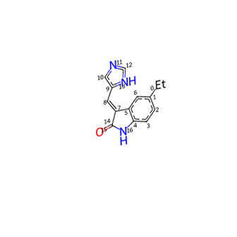 CCc1ccc2c(c1)/C(=C\c1cnc[nH]1)C(=O)N2